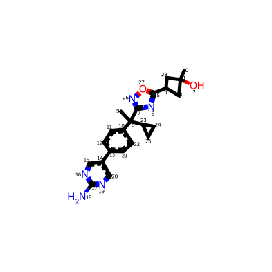 CC1(O)CC(c2nc(C(C)(c3ccc(-c4cnc(N)nc4)cc3)C3CC3)no2)C1